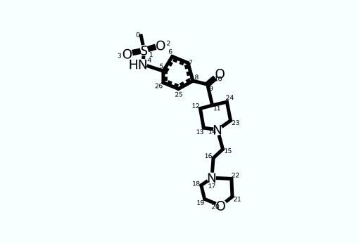 CS(=O)(=O)Nc1ccc(C(=O)C2CCN(CCN3CCOCC3)CC2)cc1